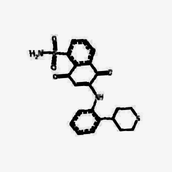 NS(=O)(=O)c1cccc2c1C(=O)C=C(Nc1ccccc1C1CCSCC1)C2=O